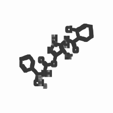 C[C@H](NC(=O)Oc1n[nH]c(NC(=O)c2ccccc2Cl)c1Br)c1ccccc1